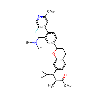 COC(=O)[C@@H](C)[C@H](c1ccc2c(c1)OC(c1ccc(-c3cc(OC)ncc3F)c(CN(C(C)C)C(C)C)c1)CC2)C1CC1